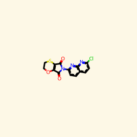 O=C1C2=C(SCCO2)C(=O)N1c1ccc2ccc(Cl)nc2n1